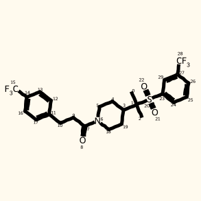 CC(C)(C1CCN(C(=O)CCc2ccc(C(F)(F)F)cc2)CC1)S(=O)(=O)c1cccc(C(F)(F)F)c1